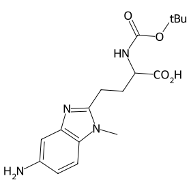 Cn1c(CCC(NC(=O)OC(C)(C)C)C(=O)O)nc2cc(N)ccc21